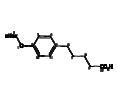 CCCCCCOc1ccc(CCCCC(=O)O)cc1